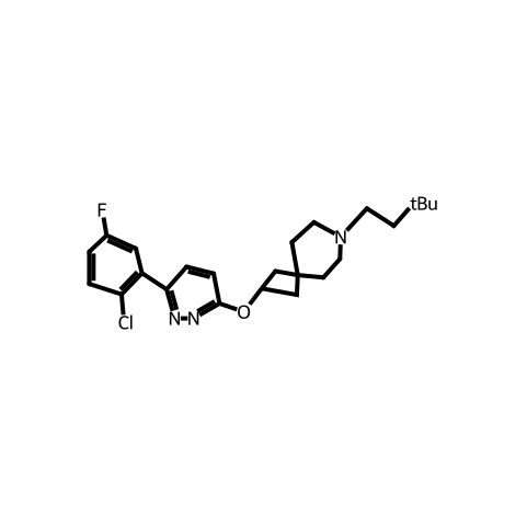 CC(C)(C)CCN1CCC2(CC1)CC(Oc1ccc(-c3cc(F)ccc3Cl)nn1)C2